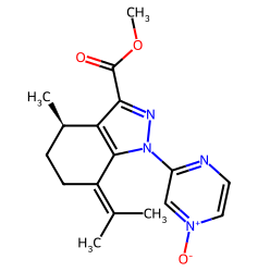 COC(=O)c1nn(-c2c[n+]([O-])ccn2)c2c1[C@H](C)CCC2=C(C)C